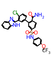 NC(=O)c1ccc(S(=O)(=O)Nc2ccc(OC(F)(F)F)cc2)cc1-c1ccc(Cl)c(-c2nc3ccccc3[nH]2)c1